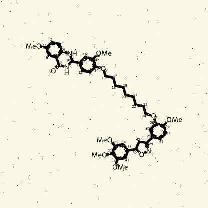 COc1ccc2c(c1)C(=O)NC(c1ccc(OCCCCCCCCCOc3cc(C4=NOC(c5cc(OC)c(OC)c(OC)c5)C4)ccc3OC)c(OC)c1)N2